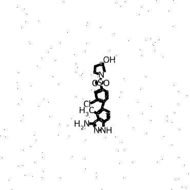 Cc1c(-c2ccc(S(=O)(=O)N3CC[C@@H](O)C3)cc2Cl)ccc2[nH]nc(N)c12